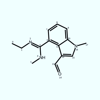 CC/N=C(\NC)c1cccc2c1c(C=O)cn2C